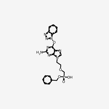 Nc1nc(On2nnc3ccccc32)c2ncn(CCOCP(=O)(O)OCc3ccccc3)c2n1